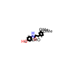 COc1ccc(CCC(=O)Nc2ccc(O)cc2C=O)cc1OC